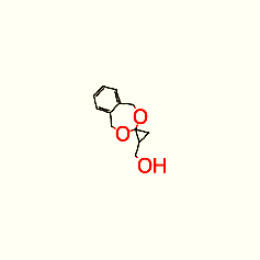 OCC1CC12OCc1ccccc1CO2